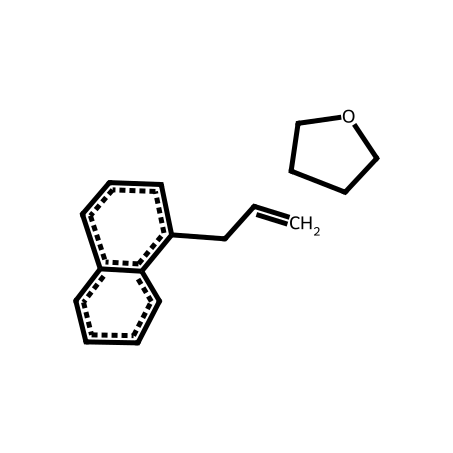 C1CCOC1.C=CCc1cccc2ccccc12